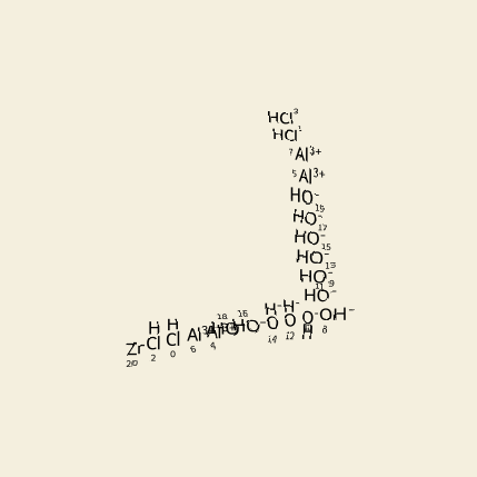 Cl.Cl.Cl.Cl.[Al+3].[Al+3].[Al+3].[Al+3].[OH-].[OH-].[OH-].[OH-].[OH-].[OH-].[OH-].[OH-].[OH-].[OH-].[OH-].[OH-].[Zr]